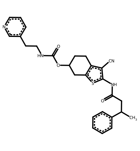 CC(CC(=O)Nc1sc2c(c1C#N)CCC(OC(=O)NCCc1cccnc1)C2)c1ccccc1